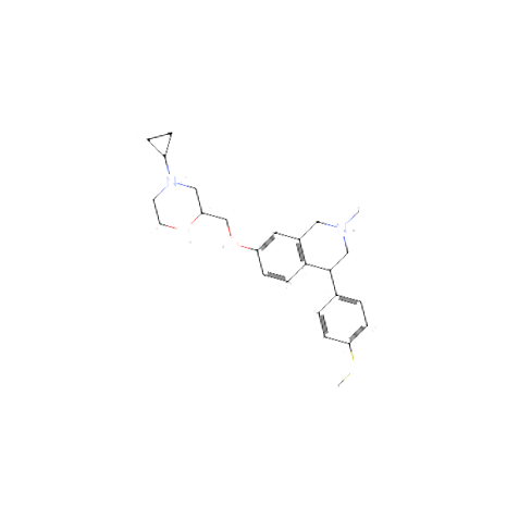 CSc1ccc(C2CN(C)Cc3cc(OCC4CN(C5CC5)CCO4)ccc32)cc1